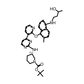 Cc1ccc2c(NCCC(C)O)cccc2c1Oc1ncccc1-c1ccnc(N[C@H]2CCCN(C(=O)OC(C)(C)C)C2)n1